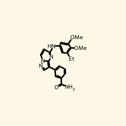 CCc1cc(Nc2ccn3ncc(-c4cccc(C(N)=O)c4)c3n2)cc(OC)c1OC